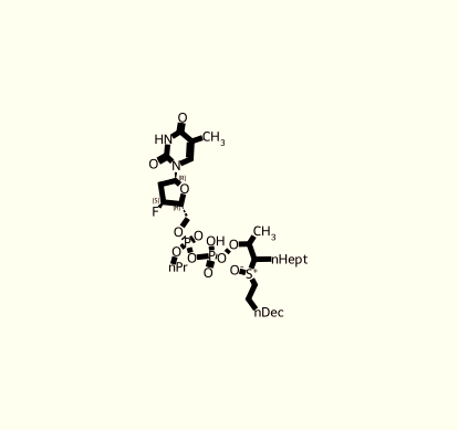 CCCCCCCCCCCC[S+]([O-])C(CCCCCCC)C(C)OOP(=O)(O)OP(=O)(OCCC)OC[C@H]1O[C@@H](n2cc(C)c(=O)[nH]c2=O)C[C@@H]1F